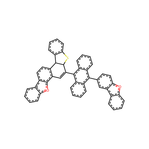 C1=C(c2c3ccccc3c(-c3ccc4oc5ccccc5c4c3)c3ccccc23)C2Sc3ccccc3C2c2ccc3c(oc4ccccc43)c21